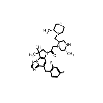 C[C@@H]1CN(CC(=O)N2CC(C)(C)c3c2cc(Cc2ccc(F)cc2F)c2ncnn32)[C@@H](CN2CCOC[C@H]2C)CN1